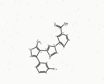 Cc1onc(-c2cccc(F)c2)c1-c1cn(-c2cccc(C(=O)O)c2)cn1